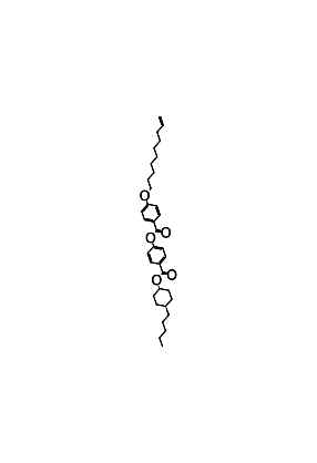 C=CCCCCCCCCOc1ccc(C(=O)Oc2ccc(C(=O)O[C@H]3CC[C@H](CCCCC)CC3)cc2)cc1